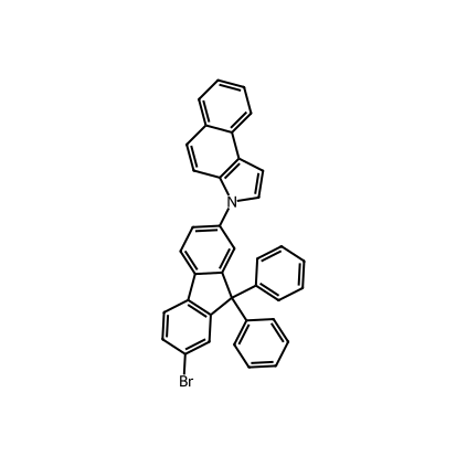 Brc1ccc2c(c1)C(c1ccccc1)(c1ccccc1)c1cc(-n3ccc4c5ccccc5ccc43)ccc1-2